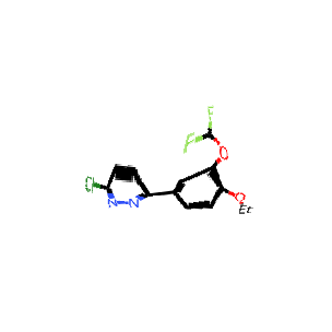 CCOc1ccc(-c2ccc(Cl)nn2)cc1OC(F)F